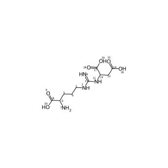 N=C(NCCCC(N)C(=O)O)NC(CC(=O)O)C(=O)O